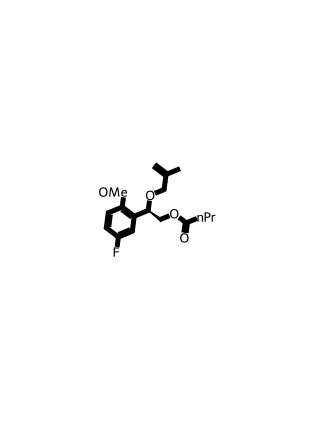 C=C(C)CO[C@@H](COC(=O)CCC)c1cc(F)ccc1OC